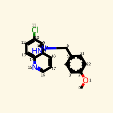 COc1ccc(CN2C=C3C(Cl)=CC=C4N=CC=CC43N2)cc1